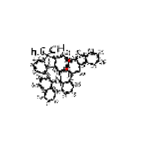 CC1(C)c2ccccc2-c2c(N(c3ccccc3-c3ccc4sc5ccccc5c4c3)c3cccc4ccccc34)cccc21